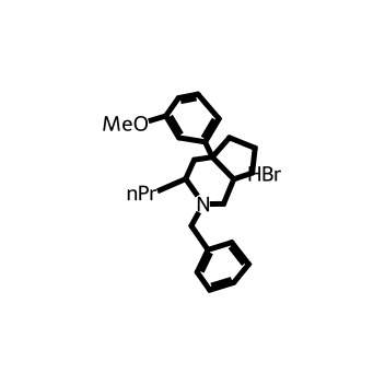 Br.CCCC1CC2(c3cccc(OC)c3)CCCC2CN1Cc1ccccc1